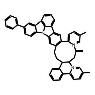 C=C1CC2C(CCc3cc4c(cc3-c3ccc(C)c[n+]31)c1cccc3c5cc(-c6ccccc6)ccc5n4c31)c1ccccc1-c1ccc(C)c[n+]12